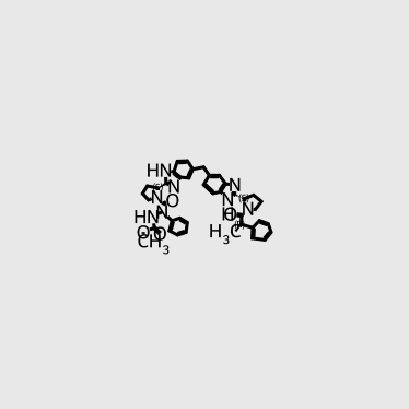 COC(=O)NN(C(=O)N1CCC[C@H]1c1nc2cc(Cc3ccc4[nH]c([C@@H]5CCCN5C(=O)[C@H](C)c5ccccc5)nc4c3)ccc2[nH]1)c1ccccc1